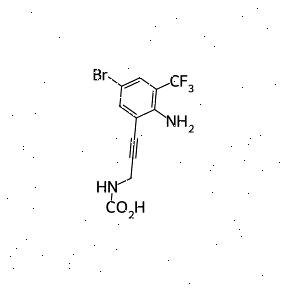 Nc1c(C#CCNC(=O)O)cc(Br)cc1C(F)(F)F